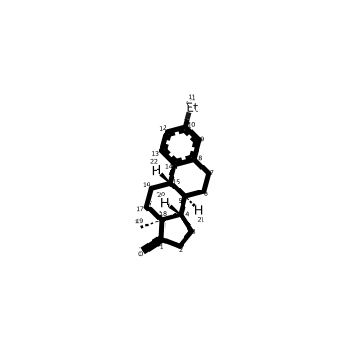 C=C1CC[C@H]2[C@@H]3CCc4cc(CC)ccc4[C@H]3CC[C@]12C